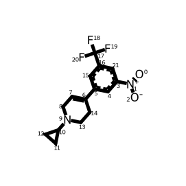 O=[N+]([O-])c1cc(C2=CCN(C3CC3)CC2)cc(C(F)(F)F)c1